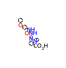 O=C(Nc1ccc(Oc2ccccc2)cc1)NC1CN(c2cccc(C(=O)O)c2-n2cccc2)C1